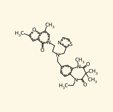 CCN1C(=O)C(C)(C)C(=O)N(C)c2cc(CN(CCn3cc(C)c4oc(C)cc4c3=O)Cc3nccs3)ccc21